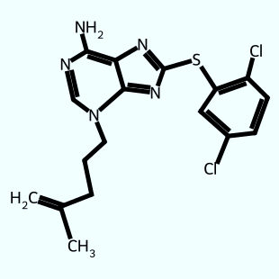 C=C(C)CCCn1cnc(N)c2nc(Sc3cc(Cl)ccc3Cl)nc1-2